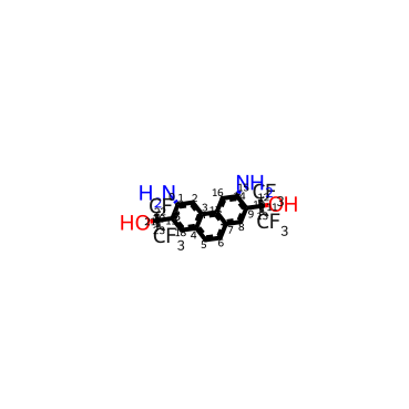 Nc1cc2c(ccc3cc(C(O)(C(F)(F)F)C(F)(F)F)c(N)cc32)cc1C(O)(C(F)(F)F)C(F)(F)F